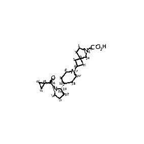 O=C(O)N1CCC2(CC(N3CCC([C@@H]4CCCN4C(=O)C4CC4)CC3)C2)C1